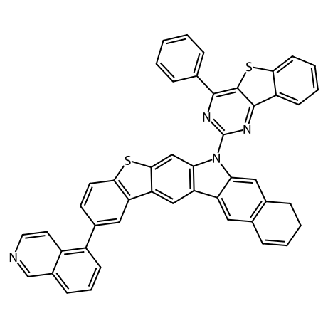 C1=Cc2cc3c4cc5c(cc4n(-c4nc(-c6ccccc6)c6sc7ccccc7c6n4)c3cc2CC1)sc1ccc(-c2cccc3cnccc23)cc15